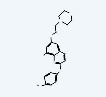 FC(F)(F)Oc1ccc(Oc2ccc3cc(OCCN4CCOCC4)cc(Cl)c3n2)cc1